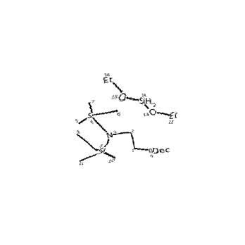 CCCCCCCCCCCCN([Si](C)(C)C)[Si](C)(C)C.CCO[SiH2]OCC